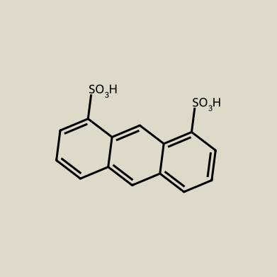 O=S(=O)(O)c1cccc2cc3cccc(S(=O)(=O)O)c3cc12